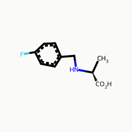 C[C@H](NCc1ccc(F)cc1)C(=O)O